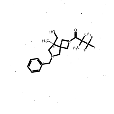 CC(C)(C(=O)N1CC2(CN(Cc3ccccc3)C[C@@]2(C)CO)C1)C(F)(F)F